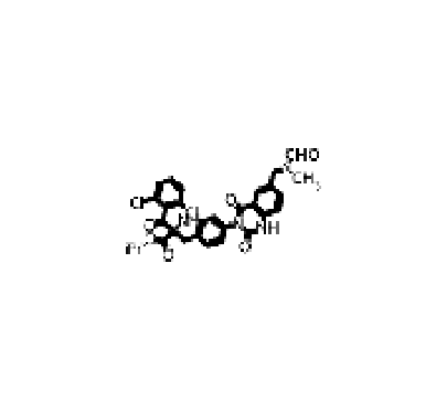 CC(C)OC(=O)[C@@](N)(Cc1ccc(-n2c(=O)[nH]c3ccc(CN(C)C=O)cc3c2=O)cc1)C(=O)c1c(Cl)cccc1Cl